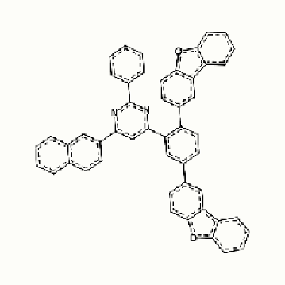 c1ccc(-c2nc(-c3ccc4ccccc4c3)cc(-c3cc(-c4ccc5oc6ccccc6c5c4)ccc3-c3ccc4oc5ccccc5c4c3)n2)cc1